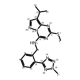 CSc1nc(NCc2ccccc2-c2nnn(C)n2)n2ncc(C(C)C)c2n1